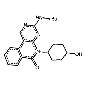 CCCCNc1ncc2c3ccccc3c(=O)n(C3CCC(O)CC3)c2n1